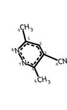 Cc1cc(C#N)c(C)nn1